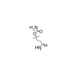 [2H]C(CCC(C)(C)OC(N)=O)NC